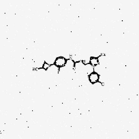 CC(C)(C)c1cc(CNC(=O)Nc2ccc(N3CC(O)C3)c(F)c2)n(-c2cccc(Cl)c2)n1